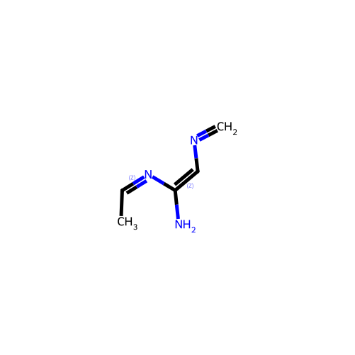 C=N/C=C(N)\N=C/C